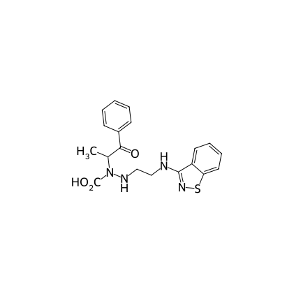 CC(C(=O)c1ccccc1)N(NCCNc1nsc2ccccc12)C(=O)O